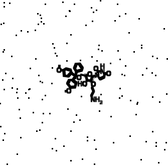 COc1ccc(C(OC[C@H]2O[C@@H](n3ccc(=O)[nH]c3=O)[C@@H](OCCCN)C2O)(c2ccccc2)c2ccc(OC)cc2)cc1